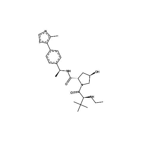 CCN[C@H](C(=O)N1C[C@H](O)C[C@H]1C(=O)N[C@@H](C)c1ccc(-c2scnc2C)cc1)C(C)(C)C